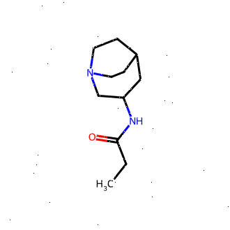 CCC(=O)NC1CC2CCN(CC2)C1